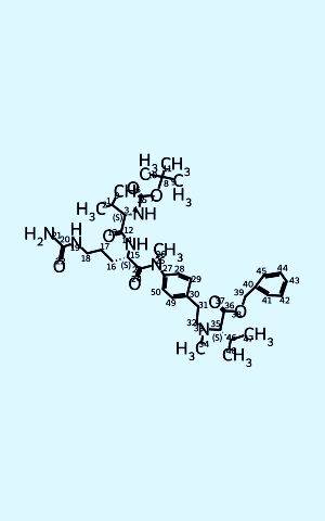 CC(C)[C@H](NC(=O)OC(C)(C)C)C(=O)N[C@@H](CCCNC(N)=O)C(=O)N(C)c1ccc(CCN(C)[C@H](C(=O)OCc2ccccc2)C(C)C)cc1